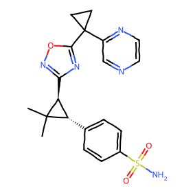 CC1(C)[C@@H](c2ccc(S(N)(=O)=O)cc2)[C@@H]1c1noc(C2(c3cnccn3)CC2)n1